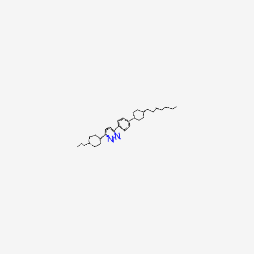 CCCCCCCC1CCC(c2ccc(-c3ccc(C4CCC(CCC)CC4)nn3)cc2)CC1